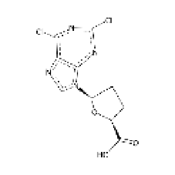 O=C(O)[C@@H]1CC[C@H](n2cnc3c(Cl)nc(Cl)nc32)O1